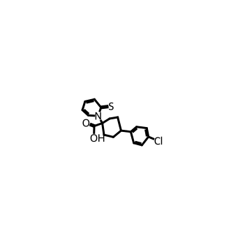 O=C(O)C1(n2ccccc2=S)CCC(c2ccc(Cl)cc2)CC1